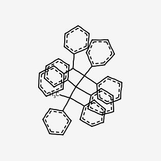 CC(c1ccccc1)(c1ccccc1)C(c1ccccc1)(c1ccccc1)C([C](c1ccccc1)c1ccccc1)(c1ccccc1)c1ccccc1